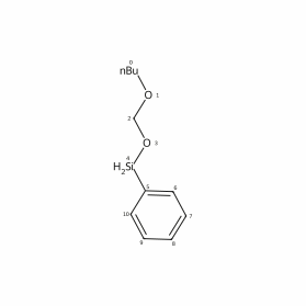 CCCCOCO[SiH2]c1ccccc1